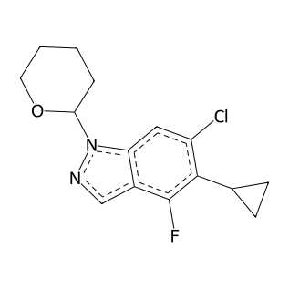 Fc1c(C2CC2)c(Cl)cc2c1cnn2C1CCCCO1